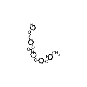 Cc1ccc(Oc2ccc(OC3CCN(C(=O)Oc4ccc(CCOc5cccnc5)cc4)CC3)cc2)nc1